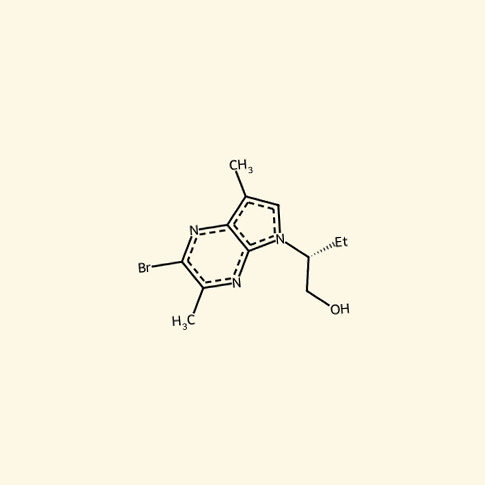 CC[C@H](CO)n1cc(C)c2nc(Br)c(C)nc21